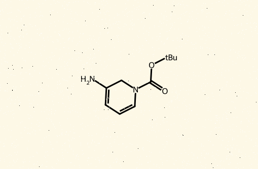 CC(C)(C)OC(=O)N1C=CC=C(N)C1